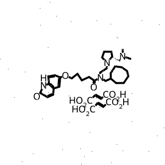 CN(C)C[C@H]1CCCN1CCN(CC1CCCCCCC1)C(=O)CCCCOc1ccc2[nH]c(=O)ccc2c1.O=C(O)/C=C/C(=O)O.O=C(O)/C=C/C(=O)O